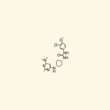 COc1ccc(NC(=O)N[C@H]2CC[C@@H](Nc3cc(N(C)C)nc(C)n3)CC2)cc1OC